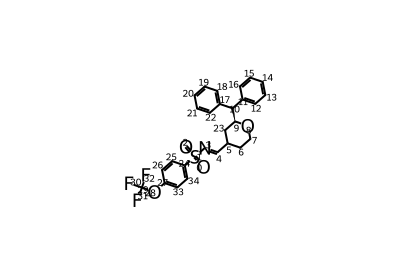 O=S(=O)(/N=C/C1CCO[C@H](C(c2ccccc2)c2ccccc2)C1)c1ccc(OC(F)(F)F)cc1